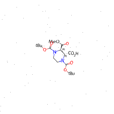 COC(=O)[C@H]1[C@H](C(=O)O)N(C(=O)OC(C)(C)C)CCN1C(=O)OC(C)(C)C